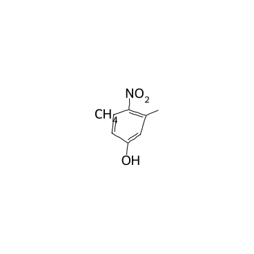 C.Cc1cc(O)ccc1[N+](=O)[O-]